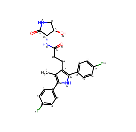 Cc1c(-c2ccc(F)cc2)[nH]c(-c2ccc(F)cc2)c1CCC(=O)N[C@@H]1C(=O)NC[C@H]1O